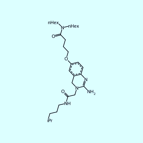 CCCCCCN(CCCCCC)C(=O)CCCOc1ccc2c(c1)CN(CC(=O)NCCCC(C)C)C(N)=N2